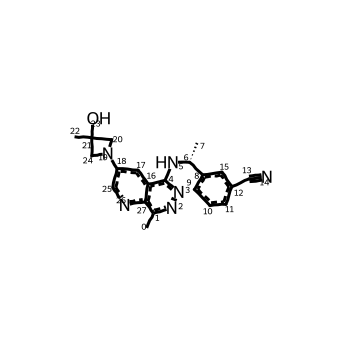 Cc1nnc(N[C@H](C)c2cccc(C#N)c2)c2cc(N3CC(C)(O)C3)cnc12